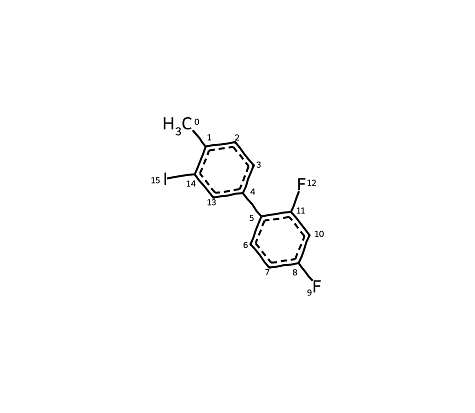 Cc1ccc(-c2ccc(F)cc2F)cc1I